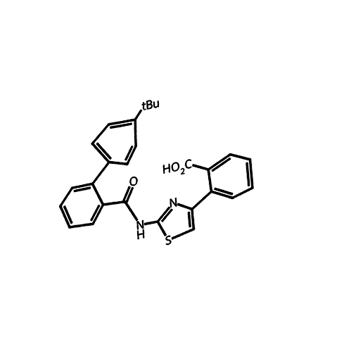 CC(C)(C)c1ccc(-c2ccccc2C(=O)Nc2nc(-c3ccccc3C(=O)O)cs2)cc1